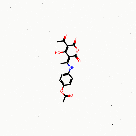 CC(=O)Oc1ccc(NC(C)=C2C(=O)OC(=O)C(C(C)=O)=C2O)cc1